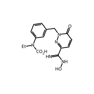 CCN(C(=O)O)c1cccc(Cn2nc(C(=N)NO)ccc2=O)c1